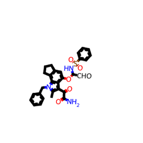 Cc1c(C(=O)C(N)=O)c2c(OC(C=O)NS(=O)(=O)c3ccccc3)cc3c(c2n1Cc1ccccc1)CCC3